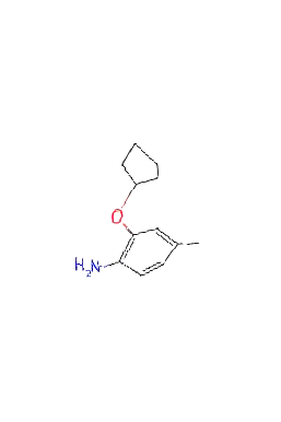 Cc1ccc(N)c(OC2CCCC2)c1